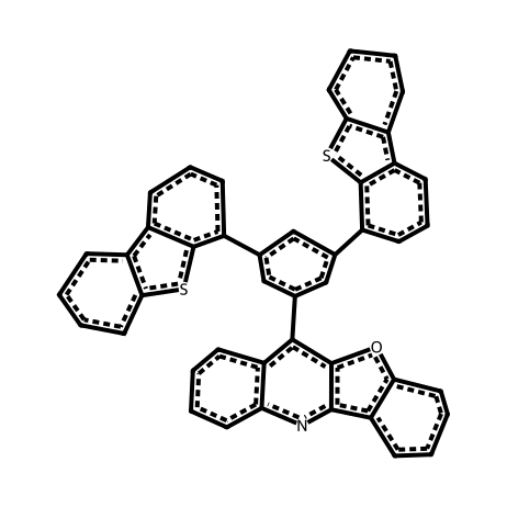 c1ccc2c(-c3cc(-c4cccc5c4sc4ccccc45)cc(-c4cccc5c4sc4ccccc45)c3)c3oc4ccccc4c3nc2c1